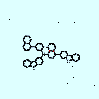 c1ccc(-c2ccc(-c3cccc4ccccc34)cc2N(c2ccc(-c3ccc4c(c3)oc3ccccc34)cc2)c2ccc3sc4ccccc4c3c2)cc1